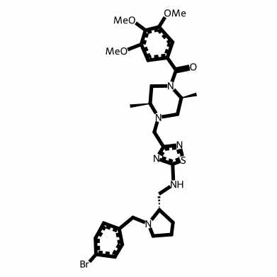 COc1cc(C(=O)N2C[C@H](C)N(Cc3nsc(NC[C@@H]4CCCN4Cc4ccc(Br)cc4)n3)C[C@@H]2C)cc(OC)c1OC